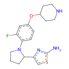 Nc1nc(C2CCCN2c2ccc(OC3CCNCC3)cc2F)cs1